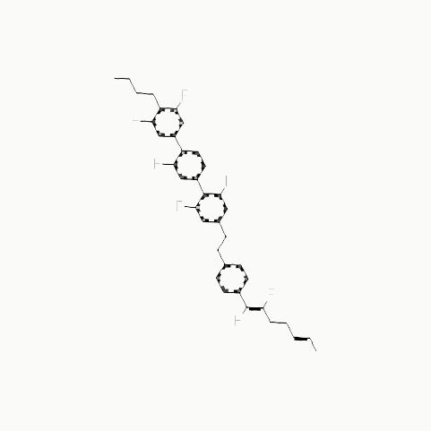 C/C=C/CC/C(F)=C(\F)c1ccc(CCc2cc(F)c(-c3ccc(-c4cc(F)c(CCCC)c(F)c4)c(F)c3)c(F)c2)cc1